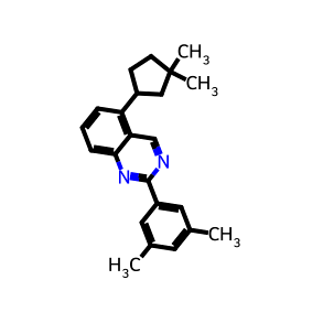 Cc1cc(C)cc(-c2ncc3c(C4CCC(C)(C)C4)cccc3n2)c1